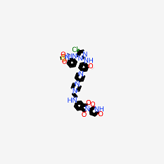 COc1cc(N2CCC(N3CCN(CCNc4ccc5c(c4)C(=O)N(C4CCC(=O)NC4=O)C5=O)CC3)CC2)ccc1Nc1ncc(Cl)c(Nc2ccccc2N(C)S(C)(=O)=O)n1